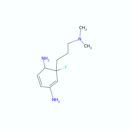 CN(C)CCCC1(F)C=C(N)C=CC1N